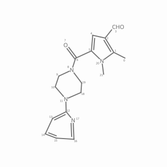 Cc1c(C=O)cc(C(=O)N2CCN(c3ccccn3)CC2)n1C